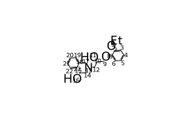 CCOc1ccccc1OCC(O)CN(CCO)Cc1ccccc1